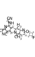 Cc1nc(O[C@H]2C[C@H](F)C2)ccc1C(C)N1CCc2c(NCC#N)nc(Cl)c(C#N)c2C1